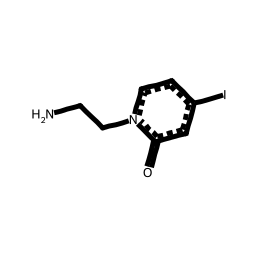 NCCn1ccc(I)cc1=O